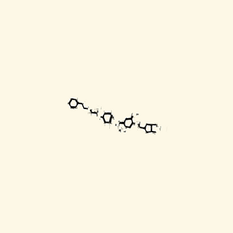 COc1cc2c(Oc3ccc(NC(=O)C(=O)NCCc4ccccc4)cc3F)ncnc2cc1OCC1CC2CNCC2C1